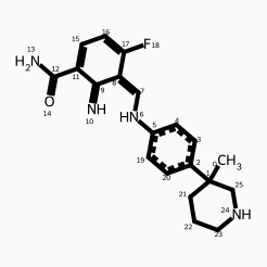 CC1(c2ccc(N/C=C3\C(=N)C(C(N)=O)=CC=C3F)cc2)CCCNC1